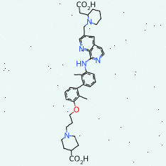 Cc1c(Nc2nccc3cc(CN4CCCCC4CC(=O)O)cnc23)cccc1-c1cccc(OCCCN2CCC(C(=O)O)CC2)c1C